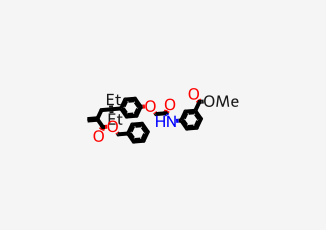 C=C(CC(CC)(CC)c1ccc(OCC(=O)Nc2cccc(C(=O)OC)c2)cc1)C(=O)OCc1ccccc1